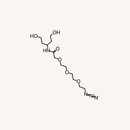 [N-]=[N+]=NCCOCCOCCOCC(=O)NC(CCO)CCO